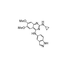 COc1cc2nc(NC3CC3)nc(Nc3ccc4[nH]ncc4c3)c2cc1OC